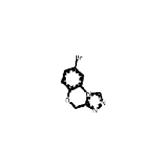 Brc1ccc2c(c1)-n1cnnc1CO2